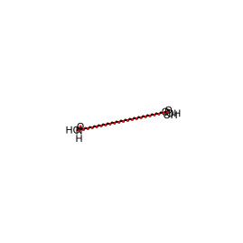 O=C(CCCCCCCCCCCCCCCCCCCCCCCCCCCCCCCCCCCCCOP(=O)(O)O)NO